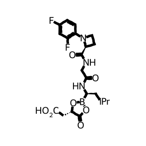 CC(C)C[C@H](NC(=O)CNC(=O)[C@@H]1CCN1c1ccc(F)cc1F)B1OC(=O)[C@H](CC(=O)O)O1